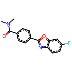 CN(C)C(=O)c1ccc(-c2nc3ccc(F)cc3o2)cc1